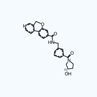 O=C(NCc1cccc(C(=O)N2CC[C@H](O)C2)c1)c1ccc2c(c1)OCc1cnccc1-2